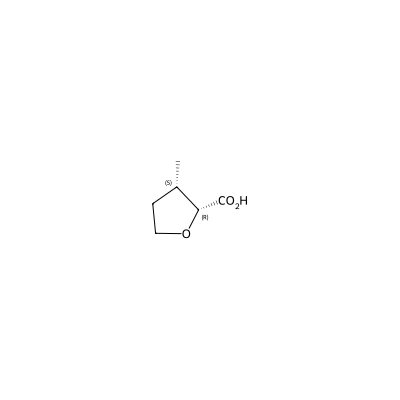 C[C@H]1CCO[C@H]1C(=O)O